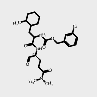 CC1CCCCC1CC(NC(=O)OCc1cccc(Cl)c1)C(=O)N[C@H](C=O)CCC(=O)N(C)C